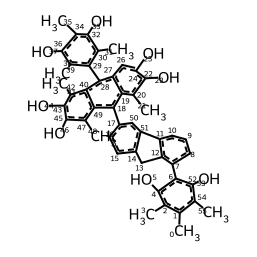 Cc1c(C)c(O)c(-c2cccc3c2Cc2ccc(-c4c5c(C)c(O)c(O)cc5c(-c5c(C)c(O)c(C)c(O)c5C)c5c(C)c(O)c(O)c(C)c45)cc2-3)c(O)c1C